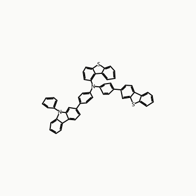 c1ccc(-n2c3ccccc3c3ccc(-c4ccc(N(c5ccc(-c6ccc7c(c6)sc6ccccc67)cc5)c5cccc6sc7ccccc7c56)cc4)cc32)cc1